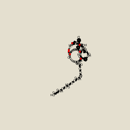 COc1ccc(C[C@@H]2NC(=O)[C@H]([C@@H](C)O)NC(=O)[C@@H]3[C@@H]4CCN3C(=O)[C@@H]3Cc5cn(c6ccc(F)cc56)CCCCCCN(Cc5ccc(cc5)CCNC(=O)[C@]5(C)CCCN5C2=O)C(=O)CCCCCC(=O)N[C@H](CNC(=O)CCOCCOCC[N+](C)(C)CCNC(=O)COCCOCCNC(=O)COCCOCCNC(=O)CCCC(=O)O)C(=O)N[C@@H](Cc2cccc(c2)CNC(=O)CO4)C(=O)N3)cc1